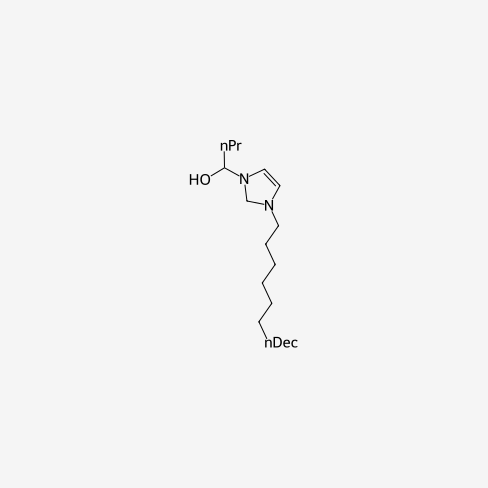 CCCCCCCCCCCCCCCCN1C=CN(C(O)CCC)C1